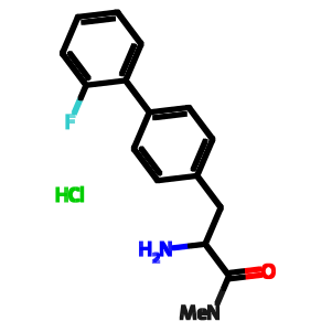 CNC(=O)C(N)Cc1ccc(-c2ccccc2F)cc1.Cl